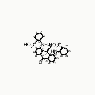 O=C(O)c1ccccc1Nc1cccc2c1C(=O)c1c(Nc3ccccc3C(=O)O)cccc1C2=O